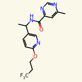 Cc1cc(C(=O)NC(C)c2ccc(OCCC(F)(F)F)nc2)ncn1